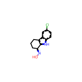 O/N=C1\CCCc2c1[nH]c1ccc(Cl)cc21